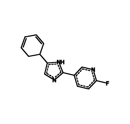 Fc1ccc(-c2ncc(C3C=CC=CC3)[nH]2)cn1